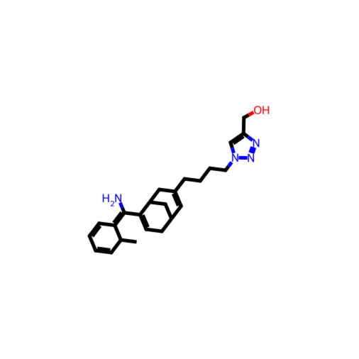 CC1C=CC=C/C1=C(\N)C1=CCC2C=C(CCCCn3cc(CO)nn3)CC1C2